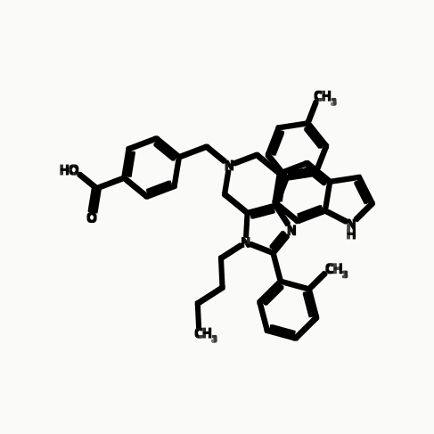 CCCCn1c(-c2ccccc2C)nc(-c2ccc(C)cc2)c1CN(Cc1ccc(C(=O)O)cc1)Cc1ccc2[nH]ccc2c1